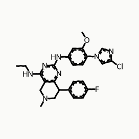 CCNc1nc(Nc2ccc(-n3cnc(Cl)c3)c(OC)c2)nc2c1CN(C)CC2c1ccc(F)cc1